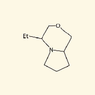 CCC1COCC2CCCN12